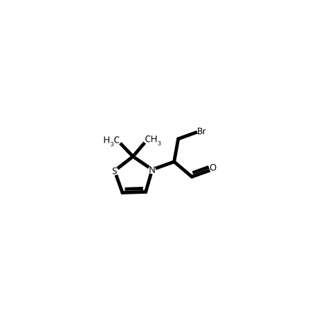 CC1(C)SC=CN1C(C=O)CBr